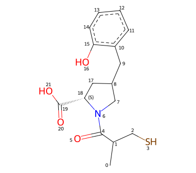 CC(CS)C(=O)N1CC(Cc2ccccc2O)C[C@H]1C(=O)O